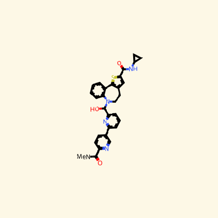 CNC(=O)c1ccc(-c2cccc(C(O)N3CCc4cc(C(=O)NC5CC5)sc4-c4ccccc43)n2)cn1